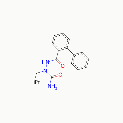 CC(C)CN(NC(=O)c1ccccc1-c1ccccc1)C(N)=O